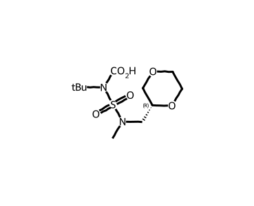 CN(C[C@@H]1COCCO1)S(=O)(=O)N(C(=O)O)C(C)(C)C